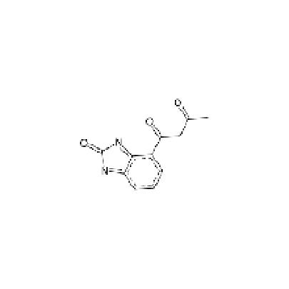 CC(=O)CC(=O)c1cccc2c1=NC(=O)N=2